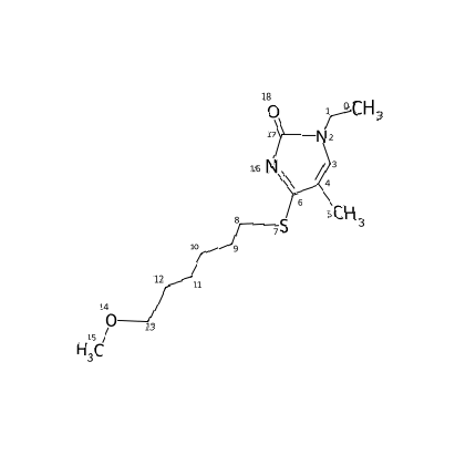 CCn1cc(C)c(SCCCCCCOC)nc1=O